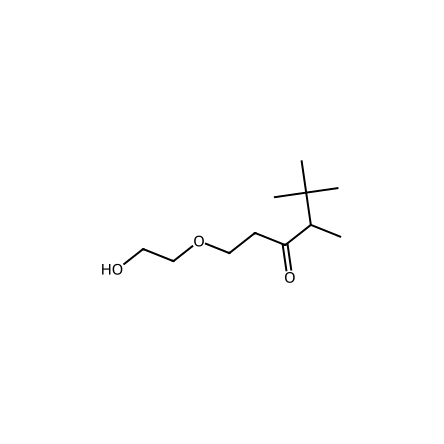 CC(C(=O)CCOCCO)C(C)(C)C